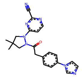 CC1(C)CN(C(=O)Cc2ccc(-n3ccnc3)cc2)N(c2ccnc(C#N)n2)C1